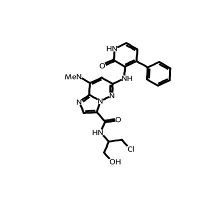 CNc1cc(Nc2c(-c3ccccc3)cc[nH]c2=O)nn2c(C(=O)NC(CO)CCl)cnc12